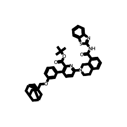 CC(C)(C)OC(=O)c1nc(N2CCc3cccc(C(=O)Nc4nc5ccccc5s4)c3C2)ccc1-c1cccc(OCC23CC4CC(CC(C4)C2)C3)c1